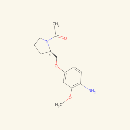 COc1cc(OC[C@H]2CCCN2C(C)=O)ccc1N